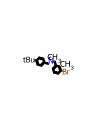 Cc1c(Br)cccc1CN(C)Cc1ccc(C(C)(C)C)cc1